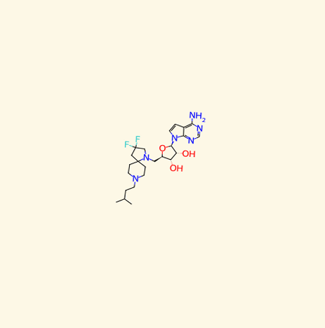 CC(C)CCN1CCC2(CC1)CC(F)(F)CN2C[C@H]1O[C@@H](n2ccc3c(N)ncnc32)[C@H](O)[C@@H]1O